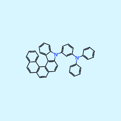 c1ccc(N(c2ccccc2)c2cccc(-n3c4ccccc4c4c5c(ccc6ccc7ccccc7c65)ccc43)c2)cc1